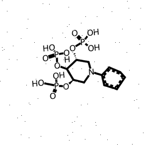 O=P(O)(O)OC1[C@H](OP(=O)(O)O)CN(c2ccccc2)C[C@H]1OP(=O)(O)O